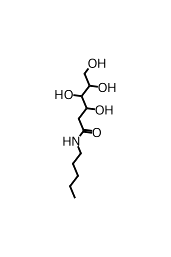 CCCCCNC(=O)CC(O)C(O)C(O)CO